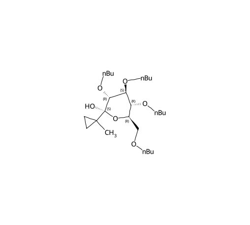 CCCCOC[C@H]1O[C@@](O)(C2(C)CC2)[C@H](OCCCC)[C@@H](OCCCC)[C@@H]1OCCCC